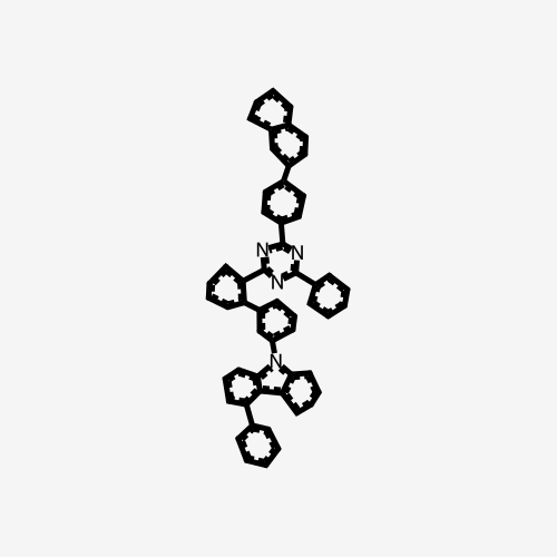 c1ccc(-c2nc(-c3ccc(-c4ccc5ccccc5c4)cc3)nc(-c3ccccc3-c3cccc(-n4c5ccccc5c5c(-c6ccccc6)cccc54)c3)n2)cc1